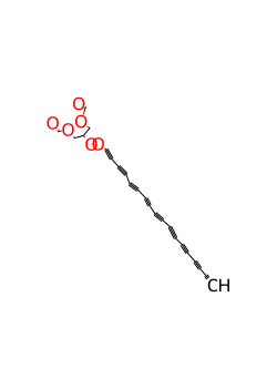 C#CC#CC#CC#CC#CC#CC#CC#CC#COOC(COC=O)COC=O